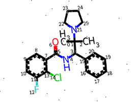 CC(C)(C(NC(=O)c1cccc(F)c1Cl)c1ccccc1)N1CCCC1